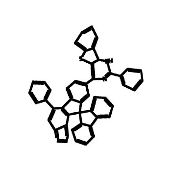 c1ccc(C2=NC(c3ccc4c(c3)C3(c5ccccc5-c5ccccc53)c3c-4c(-c4ccccc4)cc4ccccc34)=C3Sc4ccccc4C3N2)cc1